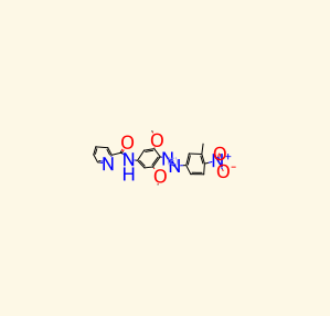 COc1cc(NC(=O)c2ccccn2)cc(OC)c1/N=N/c1ccc([N+](=O)[O-])c(C)c1